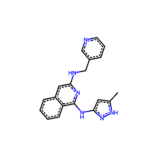 Cc1cc(Nc2nc(NCc3cccnc3)cc3ccccc23)n[nH]1